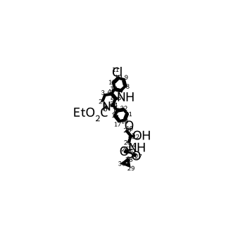 CCOC(=O)N1CCc2c([nH]c3ccc(Cl)cc23)C1c1ccc(OCC(O)CNS(=O)(=O)C2CC2)cc1